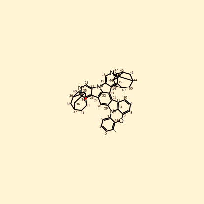 c1ccc2c(c1)oc1cccc3c4c5c6c7c(ncc6n6c8cnc9c(c8c(cc4n2c13)c56)C1CC2CC(CC9C2)C1)C1CC2CC(C1)CC7C2